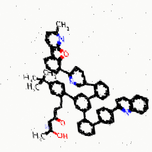 C/C(O)=C/C(=O)CCc1cc(C(C)(C)C)ccc1-c1cc(-c2ccccc2-c2ccc(-c3ccc4ccccc4n3)cc2)cc(-c2ccccc2-c2ccc(-c3cccc4c3oc3nc(C)ccc34)nc2)c1